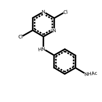 CC(=O)Nc1ccc(Nc2nc(Cl)ncc2Cl)cc1